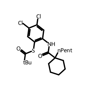 CCCCCC1(C(=O)Nc2cc(Cl)c(Cl)cc2SC(=O)C(C)(C)C)CCCCC1